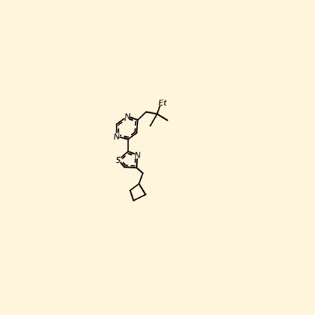 CCC(C)(C)Cc1cc(-c2nc(CC3CCC3)cs2)ncn1